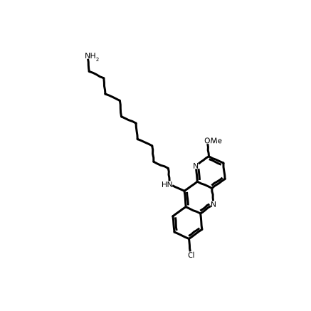 COc1ccc2nc3cc(Cl)ccc3c(NCCCCCCCCCCN)c2n1